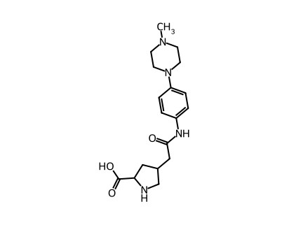 CN1CCN(c2ccc(NC(=O)CC3CNC(C(=O)O)C3)cc2)CC1